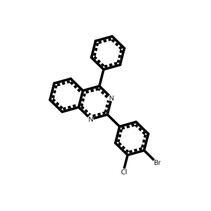 Clc1cc(-c2nc(-c3ccccc3)c3ccccc3n2)ccc1Br